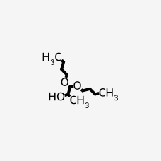 CCCCOC(OCCCC)C(C)O